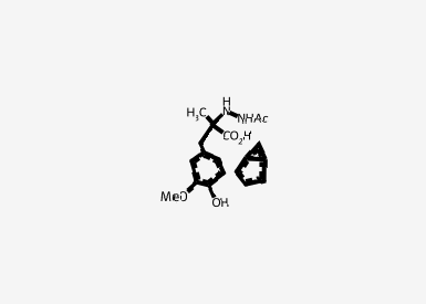 COc1cc(CC(C)(NNC(C)=O)C(=O)O)ccc1O.c1cc2cc-2c1